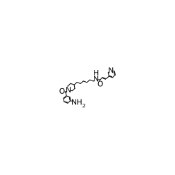 Nc1cccc(C(=O)N2CCC(CCCCCCNC(=O)/C=C/c3cccnc3)CC2)c1